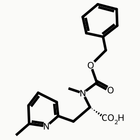 Cc1cccc(C[C@@H](C(=O)O)N(C)C(=O)OCc2ccccc2)n1